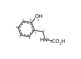 O=C(O)NCc1ccccc1O